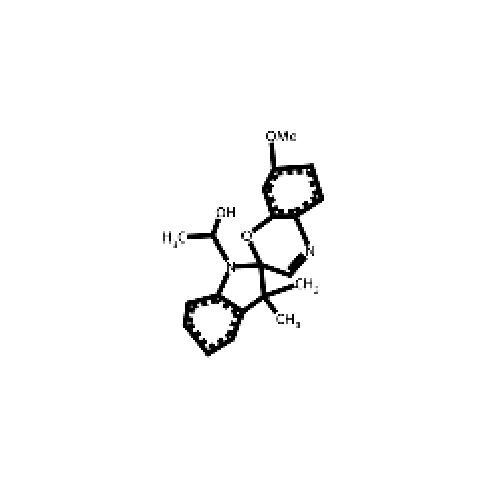 COc1ccc2c(c1)OC1(C=N2)N(C(C)O)c2ccccc2C1(C)C